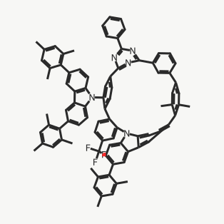 Cc1cc(C)c(-c2ccc3c(c2)c2cc(-c4c(C)cc(C)cc4C)ccc2n3-c2cc3ccc2c2ccc(C(F)(F)F)cc2n2c4ccc(-c5c(C)cc(C)cc5C)cc4c4cc(ccc42)c2c(C)cc(cc2C)c2cccc(c2)c2nc(-c4ccccc4)nc3n2)c(C)c1